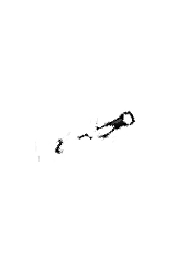 CC(=O)C(C)OCCCN1C(=O)[C@@H]2C3C=CC(C3)[C@@H]2C1=O